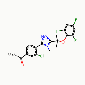 CNC(=O)c1ccc(-c2nnc(C(C)(C)Oc3c(F)cc(F)cc3F)n2C)c(Cl)c1